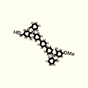 COc1ccc(N(c2ccc(-c3ccc(-c4ccc(N(c5ccccc5C)c5ccc(CO)cc5C)cc4)cc3)cc2)c2ccccc2C)c(C)c1